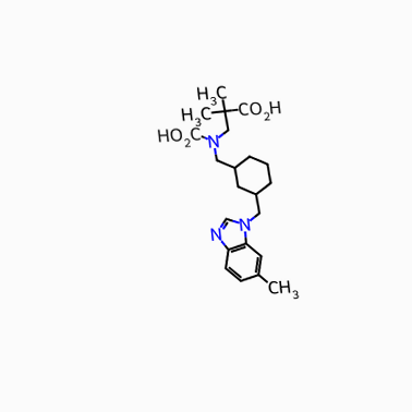 Cc1ccc2ncn(CC3CCCC(CN(CC(C)(C)C(=O)O)C(=O)O)C3)c2c1